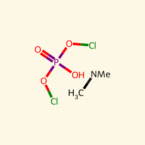 CNC.O=P(O)(OCl)OCl